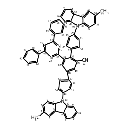 Cc1ccc2c(c1)c1ccccc1n2-c1ccc(-c2cc(C#N)c(-c3ccc(-n4c5ccccc5c5cc(C)ccc54)cc3)c(-c3nc(-c4ccccc4)nc(-c4ccccc4)n3)c2)cc1